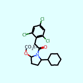 CCOC(=O)OC1CCC(C2CCCCC2)N1C(=O)Cc1c(Cl)cc(Cl)cc1Cl